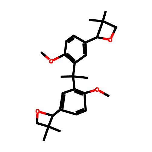 COc1ccc(C2OCC2(C)C)cc1C(C)(C)c1cc(C2OCC2(C)C)ccc1OC